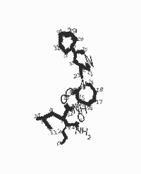 CCC[C@H](C(N)=O)C(CC(C)C)C(=O)N[C@H]1CCCCN(Cc2cncc(-c3ccccc3)c2)C1=O